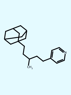 CC(C[CH]c1ccncc1)CCC12CC3CC(CC(C3)C1)C2